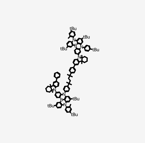 Cc1cc(C(C)(C)C)ccc1N1c2ccc(C(C)(C)C)cc2B2c3ccc(N4c5ccc(-c6ccc(C(C)(C)CCC(C)(C)c7ccc(N8c9cc(N%10c%11ccc(-c%12ccccc%12)cc%11C%11(C)CCCCC%10%11C)ccc9B9c%10cc(C(C)(C)C)ccc%10N(c%10ccc(C(C)(C)C)cc%10C)c%10cc(C(C)(C)C)cc8c%109)cc7)cc6)cc5C5(C)CCCCC45C)cc3N(c3ccc(C(C)(C)C)cc3)c3cc(C(C)(C)C)cc1c32